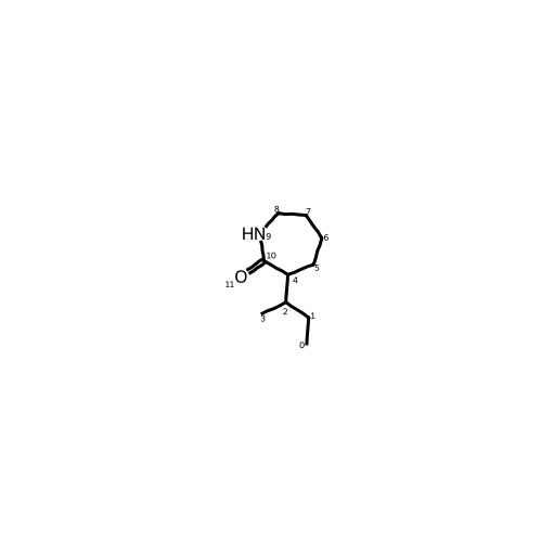 CCC(C)C1CCCCNC1=O